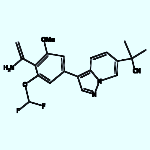 C=C(N)c1c(OC)cc(-c2cnn3cc(C(C)(C)C#N)ccc23)cc1OC(F)F